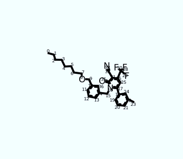 CCCCCCCCOCc1cccc(Cn2c(-c3cccc(C)c3)cc(C(F)(F)F)c(C#N)c2=O)c1